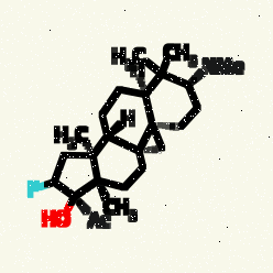 CN[C@H]1CC[C@]23C[C@@]24CC[C@]2(C)[C@@](O)(C(C)=O)C(F)C[C@@]2(C)[C@@H]4CC[C@H]3C1(C)C